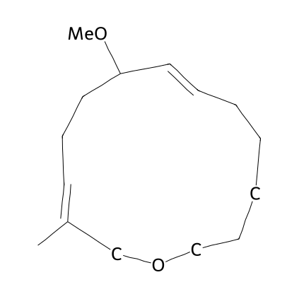 COC1/C=C/CCCCCOC/C(C)=C\CC1